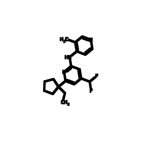 CCC1(c2cc(C(F)F)cc(Nc3ccncc3C)n2)CCCC1